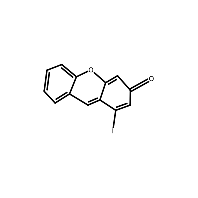 O=c1cc2oc3ccccc3cc-2c(I)c1